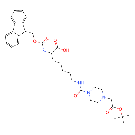 CC(C)(C)OC(=O)CN1CCN(C(=O)NCCCCCC(NC(=O)OCC2c3ccccc3-c3ccccc32)C(=O)O)CC1